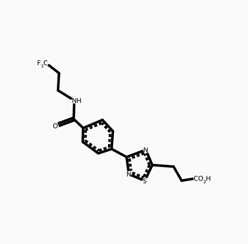 O=C(O)CCc1nc(-c2ccc(C(=O)NCCC(F)(F)F)cc2)ns1